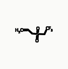 C=CCS(=O)(=O)CC(F)(F)F